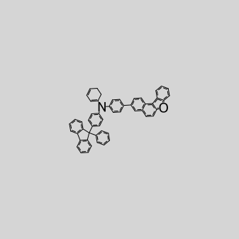 C1=CCCC(N(c2ccc(-c3ccc4c(ccc5oc6ccccc6c54)c3)cc2)c2ccc(C3(c4ccccc4)c4ccccc4-c4ccccc43)cc2)=C1